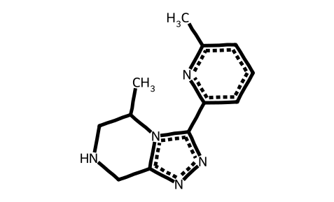 Cc1cccc(-c2nnc3n2C(C)CNC3)n1